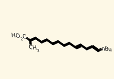 CCCC/C=C/C/C=C/CCCCCCCC(C)C(=O)O